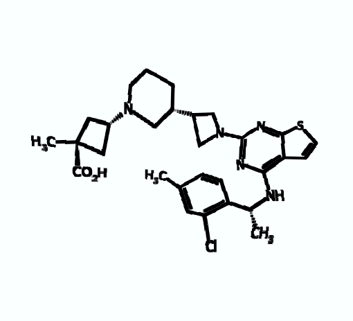 Cc1ccc([C@@H](C)Nc2nc(N3CC([C@H]4CCCN([C@H]5C[C@](C)(C(=O)O)C5)C4)C3)nc3sccc23)c(Cl)c1